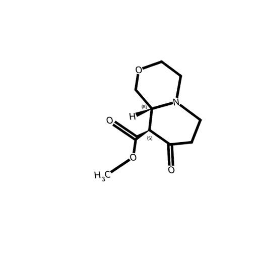 COC(=O)[C@@H]1C(=O)CCN2CCOC[C@@H]12